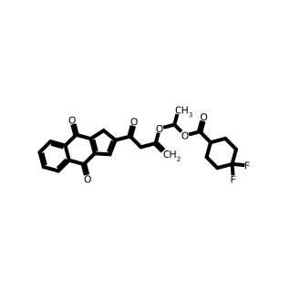 C=C(CC(=O)C1=CC2=C(C1)C(=O)c1ccccc1C2=O)OC(C)OC(=O)C1CCC(F)(F)CC1